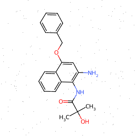 CC(C)(O)C(=O)Nc1c(N)cc(OCc2ccccc2)c2ccccc12